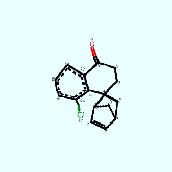 O=C1CCC2(CC3C=CC2C3)c2c(Cl)cccc21